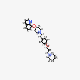 c1cnc2c(OC3CCN(CCc4ccc(OCCCN5CCCCCC5)cc4)CC3)cccc2c1